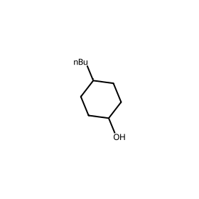 CCCC[C]1CCC(O)CC1